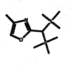 Cc1coc(C(S(C)(C)C)S(C)(C)C)n1